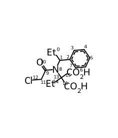 CCC(c1ccccc1)N(C(=O)CCl)C(CC)(C(=O)O)C(=O)O